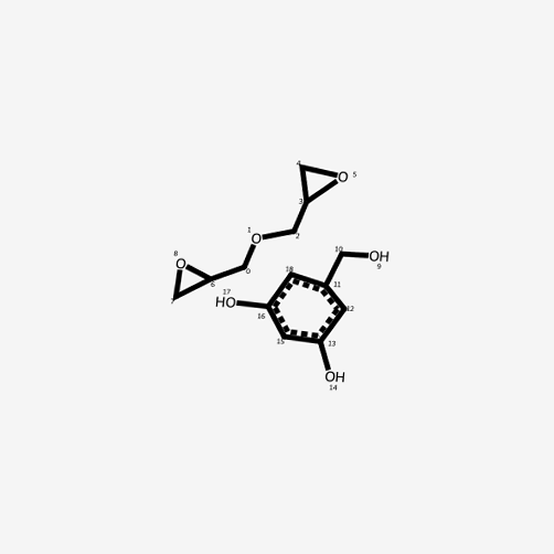 C(OCC1CO1)C1CO1.OCc1cc(O)cc(O)c1